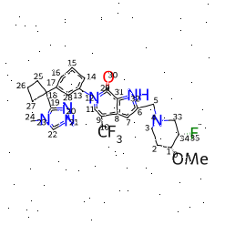 CO[C@@H]1CCN(Cc2cc3c(C(F)(F)F)cn(-c4cccc(C5(c6nncn6C)CCC5)c4)c(=O)c3[nH]2)C[C@@H]1F